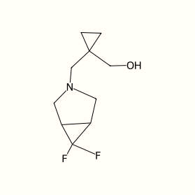 OCC1(CN2CC3C(C2)C3(F)F)CC1